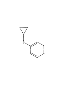 [CH]1C=CC(SC2CC2)=CC1